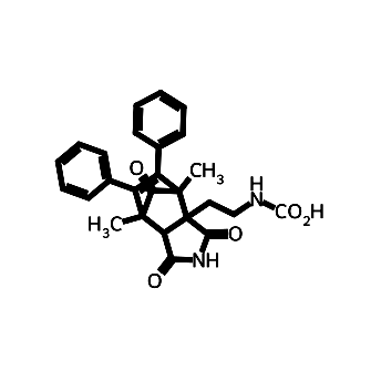 CC12C(=O)C(C)(C(c3ccccc3)=C1c1ccccc1)C1(CCNC(=O)O)C(=O)NC(=O)C21